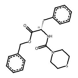 O=C(OCc1ccccc1)[C@H](Cc1ccccc1)NC(=O)N1CCSCC1